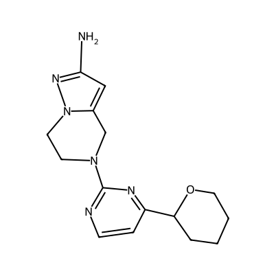 Nc1cc2n(n1)CCN(c1nccc(C3CCCCO3)n1)C2